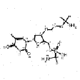 BC(C)(C)SSCO[C@@H]1C[C@H](n2cc(C)c(=O)[nH]c2=O)OC1COP(=O)(O)C(C)N